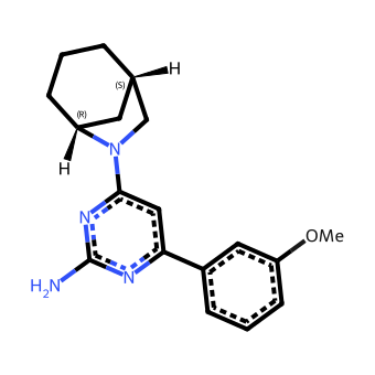 COc1cccc(-c2cc(N3C[C@H]4CCC[C@@H]3C4)nc(N)n2)c1